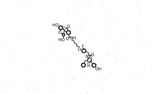 O=C(NCCCCCCOc1ccc(Cc2nc3c(Cc4ccccc4)[nH]c(-c4ccc(O)cc4)cn-3c2=O)cc1F)c1ccc2c(c1)C1(OC2=O)c2ccc(O)cc2Oc2cc(O)ccc21